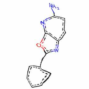 Nc1ccc2nc(-c3ccccc3)oc2n1